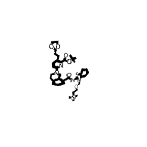 CC(C)(C)OC(=O)c1nc(N2CCc3cccc(C(=O)/N=c4\sc5ccccc5n4COCC[Si](C)(C)C)c3C2)ccc1CCC1OCCO1